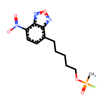 CP(=O)(F)OCCCCCc1ccc([N+](=O)[O-])c2nonc12